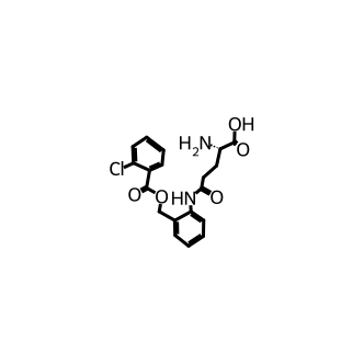 N[C@@H](CCC(=O)Nc1ccccc1COC(=O)c1ccccc1Cl)C(=O)O